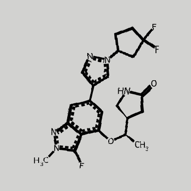 C[C@@H](Oc1cc(-c2cnn(C3CCC(F)(F)C3)c2)cc2nn(C)c(F)c12)[C@H]1CNC(=O)C1